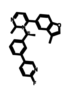 Cc1coc2ccc(C3=CC=NC(C)N3[C@@H](C)c3cccc(-c4ccc(F)nc4)c3)cc12